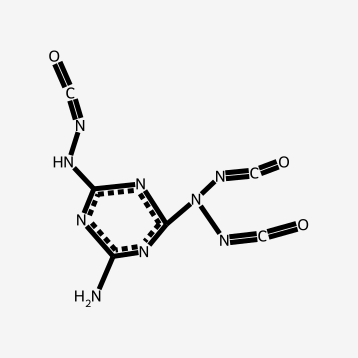 Nc1nc(NN=C=O)nc(N(N=C=O)N=C=O)n1